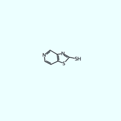 Sc1nc2cnccc2s1